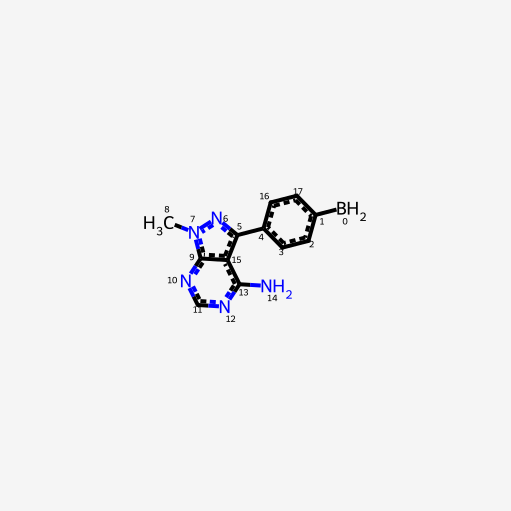 Bc1ccc(-c2nn(C)c3ncnc(N)c23)cc1